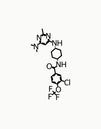 Cc1nc(N[C@H]2CC[C@@H](NC(=O)c3ccc(OC(F)(F)F)c(Cl)c3)CC2)cc(N(C)C)n1